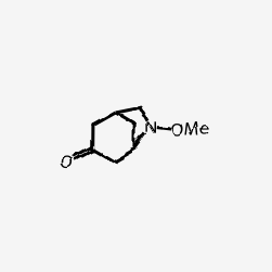 CON1CC2CC(=O)CC1C2